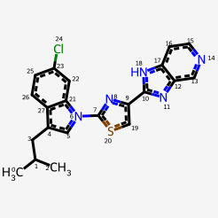 CC(C)Cc1cn(-c2nc(-c3nc4cnccc4[nH]3)cs2)c2cc(Cl)ccc12